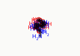 NCCCC[C@H](N)C(=O)N[C@@H](CO)C(=O)NCC(=O)N[C@@H](CO)C(=O)N[C@@H](CC(=O)O)C(=O)N[C@@H](CO)C(=O)NCC(=O)N[C@@H](CO)C(=O)N[C@@H](CC(=O)O)C(=O)N[C@@H](CO)C(=O)NCC(=O)N[C@@H](CO)C(=O)O